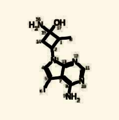 CC1C(n2cc(I)c3c(N)ncnc32)CC1(N)O